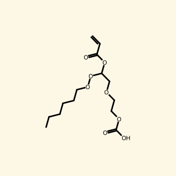 C=CC(=O)OC(COCCOC(=O)O)OOCCCCCC